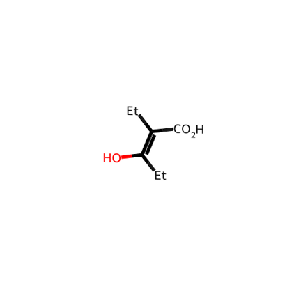 CCC(O)=C(CC)C(=O)O